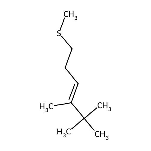 CSCC/C=C(\C)C(C)(C)C